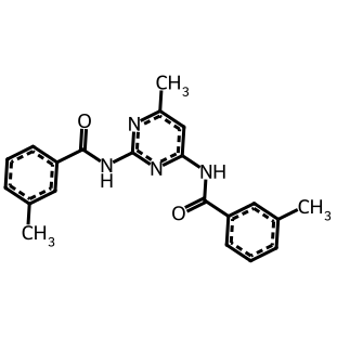 Cc1cccc(C(=O)Nc2cc(C)nc(NC(=O)c3cccc(C)c3)n2)c1